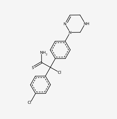 NC(=S)C(Cl)(c1ccc(Cl)cc1)c1ccc(N2CNCC=N2)cc1